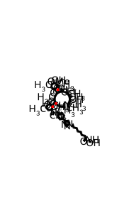 CC[C@H]1OC(=O)[C@H](C)[C@@H](O[C@H]2C[C@@](C)(OC)[C@@H](O)[C@H](C)O2)[C@H](C)[C@@H](O[C@@H]2O[C@H](C)C[C@H](N(C)Cc3ccc(-c4cn(CCCCCCCC(=O)NO)nn4)cc3)[C@H]2O)[C@](C)(O)C[C@@H](C)CN(C)[C@H](C)[C@@H](O)[C@]1(C)O